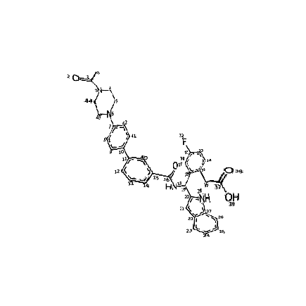 CC(=O)N1CCN(c2ccc(-c3cccc(C(=O)NC(c4cc5ccccc5[nH]4)c4cc(F)ccc4CC(=O)O)c3)cc2)CC1